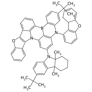 CC(C)(C)c1ccc2c(c1)N(c1cccc3c1C1CC=CC=C1O3)c1cc(N3c4ccc(C(C)(C)C)cc4C4(C)CCCCC34C)cc3c1B2c1cccc2c4oc5ccccc5c4n-3c12